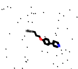 CCCCCCCCCCCCOc1ccc(-c2ccncc2)cc1